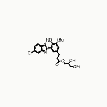 CC(C)(C)c1cc(CCC(=O)OCC(O)CO)cc(-n2nc3ccc(Cl)cc3n2)c1O